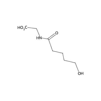 O=C(O)CNC(=O)CCCCO